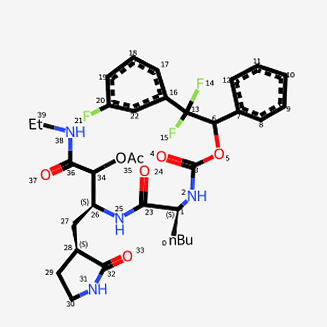 CCCC[C@H](NC(=O)OC(c1ccccc1)C(F)(F)c1cccc(F)c1)C(=O)N[C@@H](C[C@@H]1CCNC1=O)C(OC(C)=O)C(=O)NCC